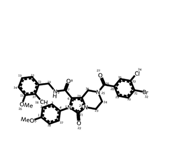 COc1ccc(-n2c(C(=O)NCc3cccc(OC)c3C)c3n(c2=O)CCN(C(=O)c2ccc(Br)c(Cl)c2)C3)cc1